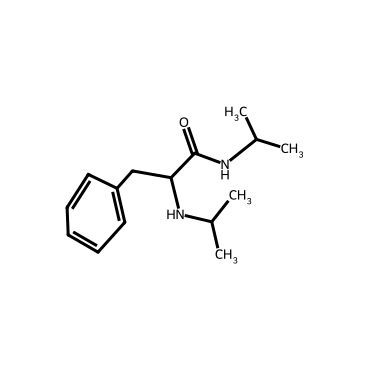 CC(C)NC(=O)C(Cc1ccccc1)NC(C)C